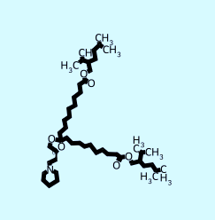 CC(C)CCC(COC(=O)CCCCCCCCCC1(CCCCCCCCCC(=O)OCC(CCC(C)C)C(C)C)OC[C@H](CCN2CCCCC2)O1)C(C)C